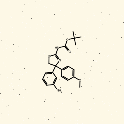 COc1ccc(C2(c3cccc(N)c3)CSC(NC(=O)OC(C)(C)C)=N2)cc1